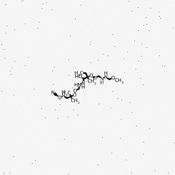 CCC(C)(OOCNNCOC)C(O)NNCOOC(C)(C)CNOC#N